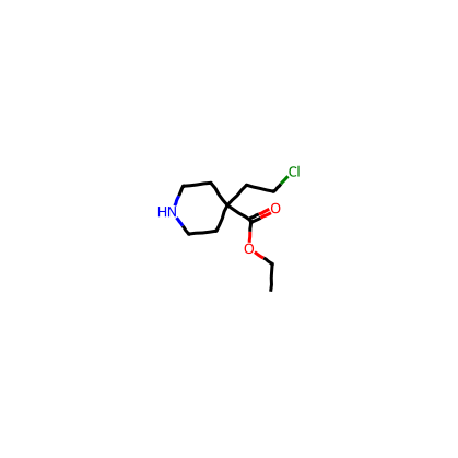 CCOC(=O)C1(CCCl)CCNCC1